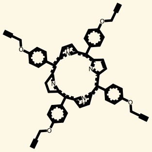 C#CCOc1ccc(-c2c3nc(c(-c4ccc(OCC#C)cc4)c4ccc([nH]4)c(-c4ccc(OCC#C)cc4)c4nc(c(-c5ccc(OCC#C)cc5)c5ccc2[nH]5)CC4)C=C3)cc1